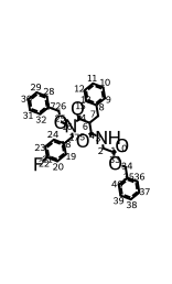 O=C(CNC(=O)C(Cc1ccccc1)C(=O)N(Cc1ccc(F)cc1)OCc1ccccc1)OCc1ccccc1